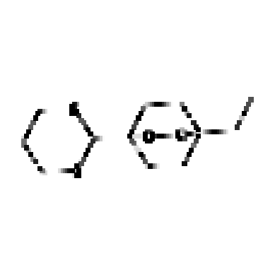 CCC12CCC(C3SCCCS3)(CC1)OC2